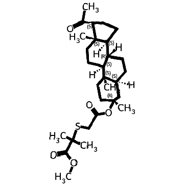 COC(=O)C(C)(C)SCC(=O)O[C@]1(C)CC[C@@]2(C)[C@@H](CC[C@@H]3[C@@H]2CC[C@]2(C)[C@@H](C(C)=O)CC[C@@H]32)C1